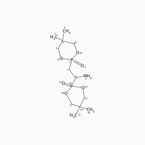 CC1(C)COP(=O)(CC(N)P2(=O)OCC(C)(C)CO2)OC1